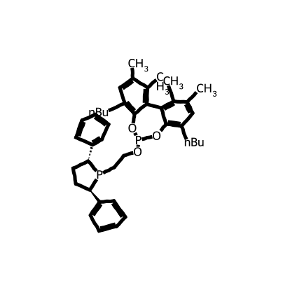 CCCCc1cc(C)c(C)c2c1op(OCCP1[C@@H](c3ccccc3)CC[C@@H]1c1ccccc1)oc1c(CCCC)cc(C)c(C)c12